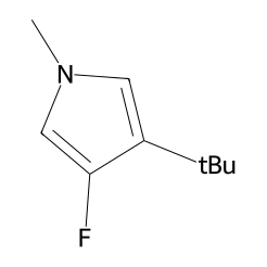 Cn1cc(F)c(C(C)(C)C)c1